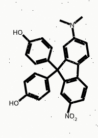 CN(C)c1ccc2c(c1)C(c1ccc(O)cc1)(c1ccc(O)cc1)c1cc([N+](=O)[O-])ccc1-2